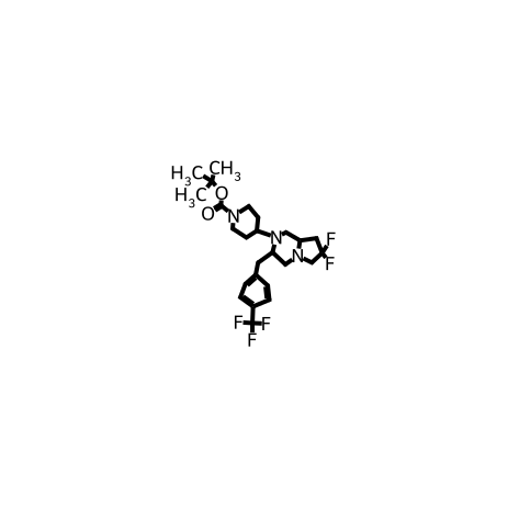 CC(C)(C)OC(=O)N1CCC(N2CC3CC(F)(F)CN3CC2Cc2ccc(C(F)(F)F)cc2)CC1